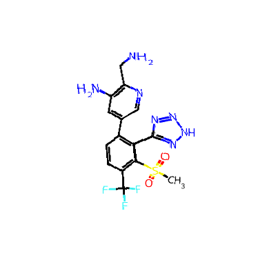 CS(=O)(=O)c1c(C(F)(F)F)ccc(-c2cnc(CN)c(N)c2)c1-c1nn[nH]n1